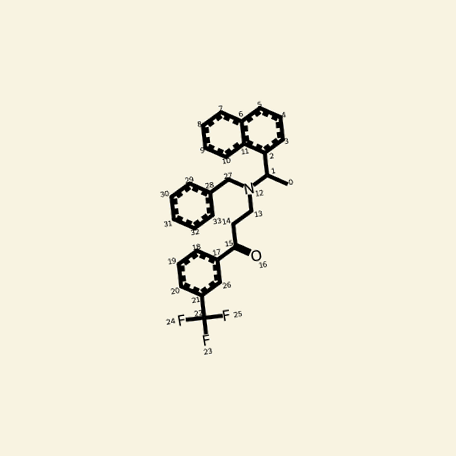 CC(c1cccc2ccccc12)N(CCC(=O)c1cccc(C(F)(F)F)c1)Cc1ccccc1